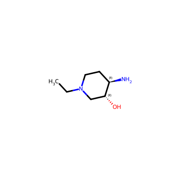 CCN1CC[C@@H](N)[C@H](O)C1